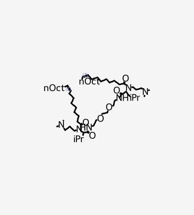 CCCCCCCC/C=C\CCCCCCCC(=O)N(CCCN(C)C)C(C(=O)NCCOCCOCCNC(=O)C(C(C)C)N(CCCN(C)C)C(=O)CCCCCCC/C=C\CCCCCCCC)C(C)C